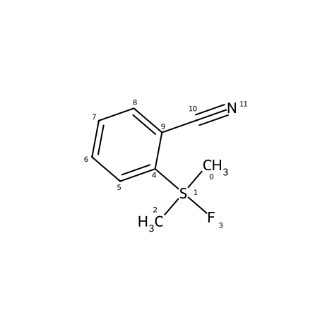 CS(C)(F)c1ccccc1C#N